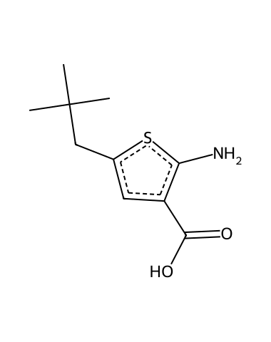 CC(C)(C)Cc1cc(C(=O)O)c(N)s1